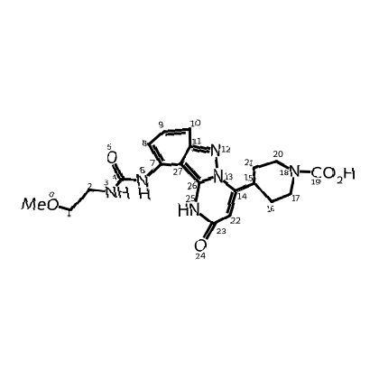 COCCNC(=O)Nc1cccc2nn3c(C4CCN(C(=O)O)CC4)cc(=O)[nH]c3c12